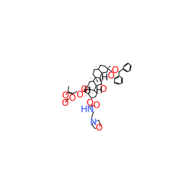 Cc1oc(=O)oc1COC(=O)[C@]1(C)[C@@H](OC(=O)NCCN2CCOCC2)CC[C@@]2(C)[C@H]1CC[C@]1(C)[C@@H]2C(=O)C=C2[C@@H]3C[C@@](C)(C(=O)OC(c4ccccc4)c4ccccc4)CC[C@]3(C)CC[C@]21C